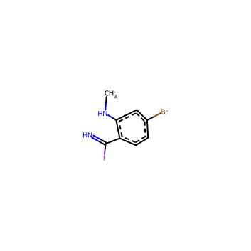 CNc1cc(Br)ccc1C(=N)I